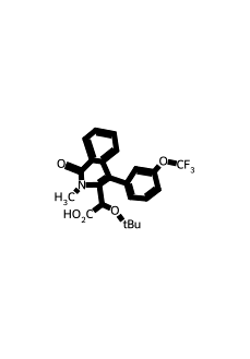 Cn1c(C(OC(C)(C)C)C(=O)O)c(-c2cccc(OC(F)(F)F)c2)c2ccccc2c1=O